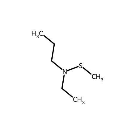 CCCN(CC)SC